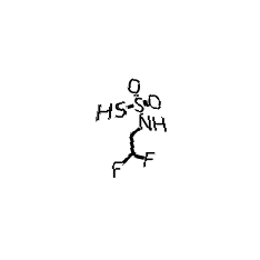 O=S(=O)(S)NCC(F)F